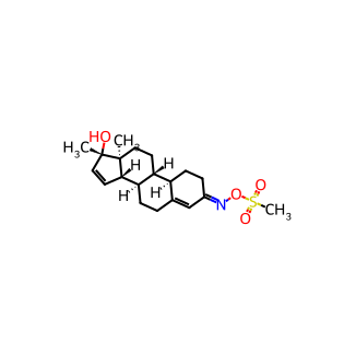 C[C@]1(O)C=C[C@H]2[C@@H]3CCC4=C/C(=N/OS(C)(=O)=O)CC[C@@H]4[C@H]3CC[C@@]21C